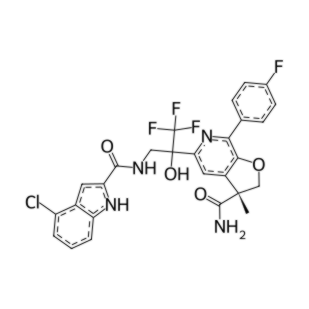 C[C@]1(C(N)=O)COc2c1cc(C(O)(CNC(=O)c1cc3c(Cl)cccc3[nH]1)C(F)(F)F)nc2-c1ccc(F)cc1